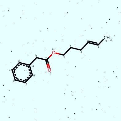 CC=CCCCOC(=O)Cc1ccccc1